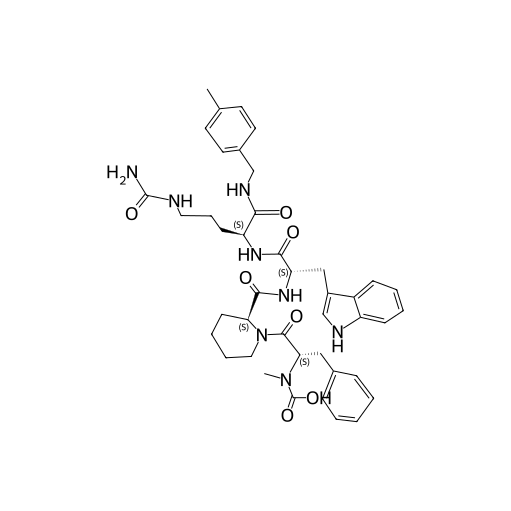 Cc1ccc(CNC(=O)[C@H](CCCNC(N)=O)NC(=O)[C@H](Cc2c[nH]c3ccccc23)NC(=O)[C@@H]2CCCCN2C(=O)[C@H](Cc2ccccc2)N(C)C(=O)O)cc1